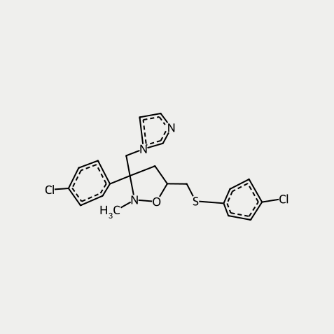 CN1OC(CSc2ccc(Cl)cc2)CC1(Cn1ccnc1)c1ccc(Cl)cc1